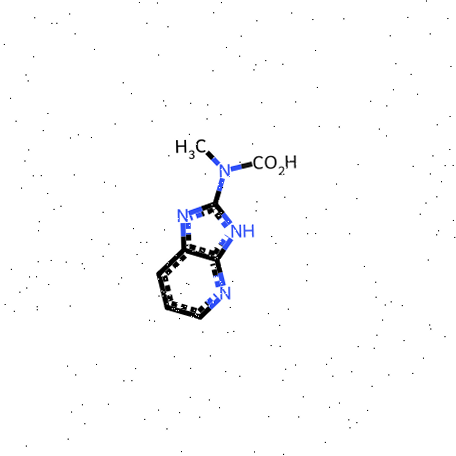 CN(C(=O)O)c1nc2cccnc2[nH]1